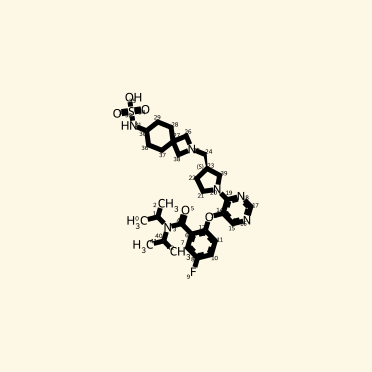 CC(C)N(C(=O)c1cc(F)ccc1Oc1cncnc1N1CC[C@@H](CN2CC3(CCC(NS(=O)(=O)O)CC3)C2)C1)C(C)C